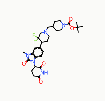 Cn1c(=O)n(C2CCC(=O)NC2=O)c2ccc(C3CCN(CC4CCN(C(=O)OC(C)(C)C)CC4)CC3(F)F)cc21